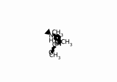 COCCCOn1nc(C)c2ccc(C(C)NC3CC3)cc21